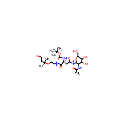 CC(=O)NC1C(NC(=O)C[C@H](NC(=O)OC(C)(C)C)C(=O)NCCOC(C)(C)CCO)OC(CO)C(O)C1O